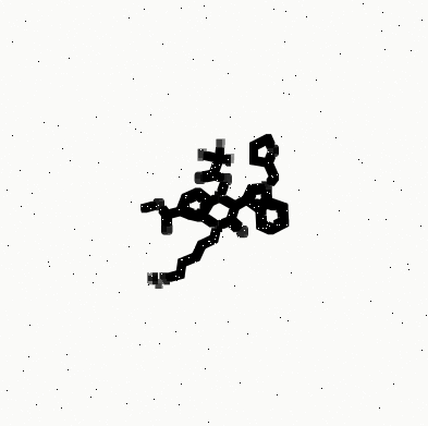 COC(=O)c1ccc2c(c1)N(CCCCCN)C(=O)C(c1cn(CC3CCCO3)c3ccccc13)N2OC(=O)C(F)(F)F